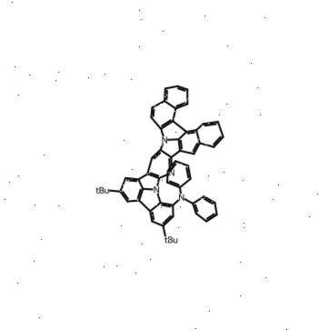 CC(C)(C)c1cc(N(c2ccccc2)c2ccccc2)c2c(c1)c1cc(C(C)(C)C)cc3c4cc5c(nc4n2c31)c1cc2ccccc2c2c3c4ccccc4ccc3n5c12